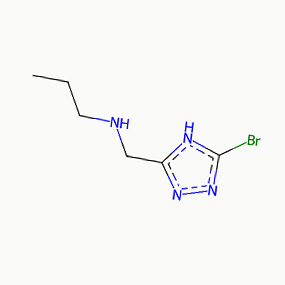 CCCNCc1nnc(Br)[nH]1